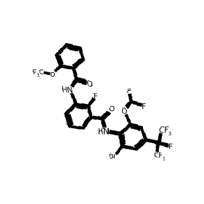 O=C(Nc1cccc(C(=O)Nc2c(Br)cc(C(F)(C(F)(F)F)C(F)(F)F)cc2OC(F)F)c1F)c1ccccc1OC(F)(F)F